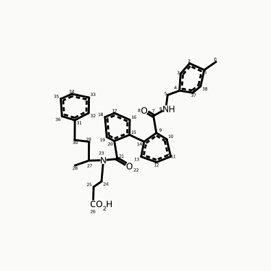 Cc1ccc(CNC(=O)c2ccccc2-c2ccccc2C(=O)N(CCC(=O)O)C(C)CCc2ccccc2)cc1